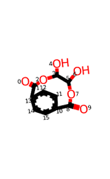 O=C1OC(O)C(O)OC(=O)c2ccc1cc2